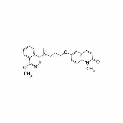 COc1ncc(NCCCOc2ccc3c(ccc(=O)n3C)c2)c2ccccc12